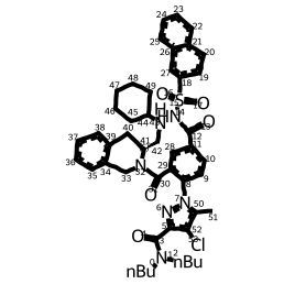 CCCCN(CCCC)C(=O)c1nn(-c2ccc(C(=O)NS(=O)(=O)c3ccc4ccccc4c3)cc2C(=O)N2Cc3ccccc3C[C@H]2CNC2CCCCC2)c(C)c1Cl